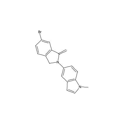 C=C1c2cc(Br)ccc2CN1c1ccc2c(ccn2C)c1